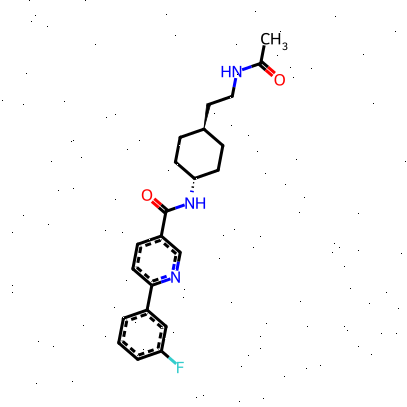 CC(=O)NCC[C@H]1CC[C@H](NC(=O)c2ccc(-c3cccc(F)c3)nc2)CC1